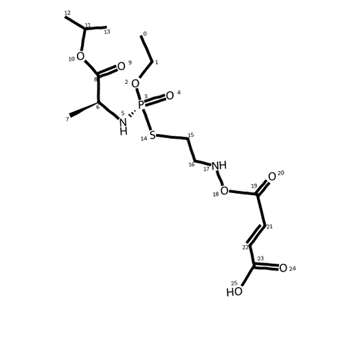 CCO[P@](=O)(N[C@@H](C)C(=O)OC(C)C)SCCNOC(=O)/C=C/C(=O)O